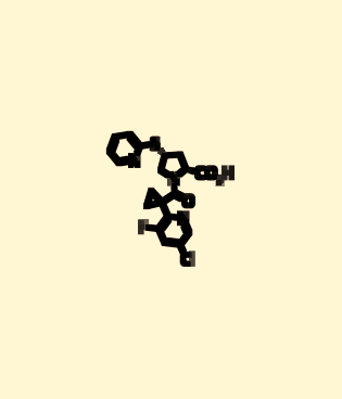 O=C(O)[C@@H]1C[C@@H](Sc2ccccn2)CN1C(=O)C1(c2ncc(Cl)cc2F)CC1